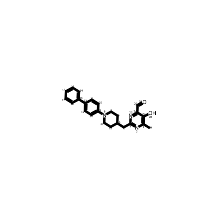 Cc1nc(CC2CCN(c3ccc(-c4ccccc4)cc3)CC2)nc([C]=O)c1O